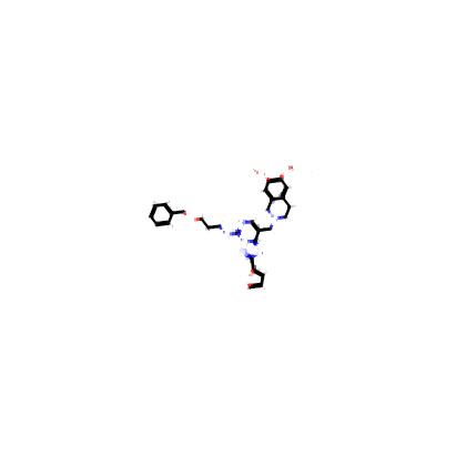 COc1cc2c(cc1OC)CN(Cc1cnc(NCCCOCc3ccccc3)n3nc(-c4ccco4)nc13)CC2